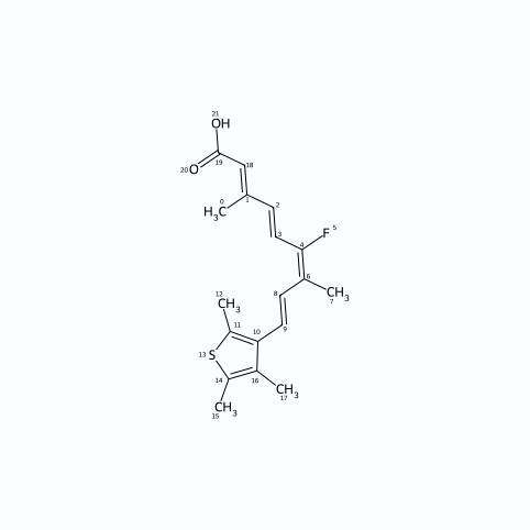 CC(/C=C/C(F)=C(C)\C=C\c1c(C)sc(C)c1C)=C\C(=O)O